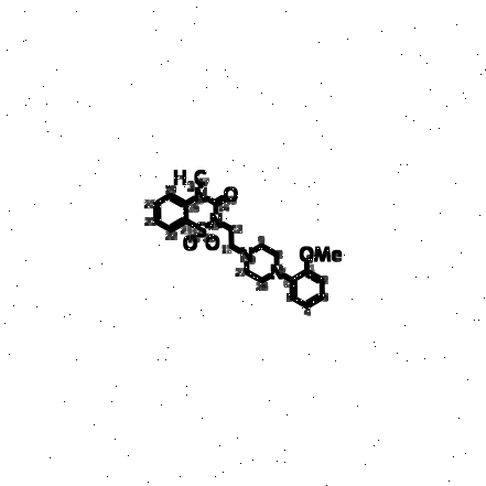 COc1ccccc1N1CCN(CCN2C(=O)N(C)c3ccccc3S2(=O)=O)CC1